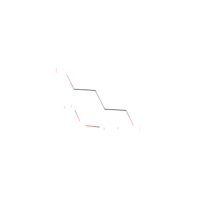 CCCCCCOCCCC.OCCCCO